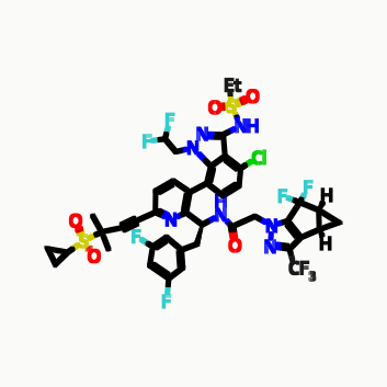 CCS(=O)(=O)Nc1nn(CC(F)F)c2c(-c3ccc(C#CC(C)(C)S(=O)(=O)C4CC4)nc3[C@H](Cc3cc(F)cc(F)c3)NC(=O)Cn3nc(C(F)(F)F)c4c3C(F)(F)[C@@H]3C[C@H]43)ccc(Cl)c12